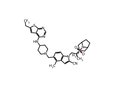 Cc1c(CN2CCC(Nc3ncnc4sc(CC(F)(F)F)cc34)CC2)ccc2c1cc(C#N)n2CC(C)N1CC2CCC(C1)N2S(C)(=O)=O